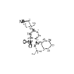 CC(C)CN(c1ccc(C(C)(C)CC#N)cc1[N+](=O)[O-])C1CCCCC1